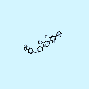 CC[C@H]1CN(c2ncc(-n3cccn3)cc2Cl)CCN1C1CCN(Cc2ccc(OC(F)(F)F)cc2)CC1